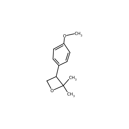 COc1ccc(C2COC2(C)C)cc1